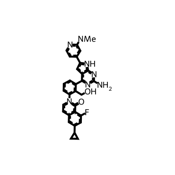 CNc1cc(-c2cc3c(-c4cccc(-n5ccc6cc(C7CC7)cc(F)c6c5=O)c4CO)nc(N)nc3[nH]2)ccn1